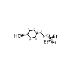 C#CC1CCC(CCO[Si](CC)(CC)CC)CC1